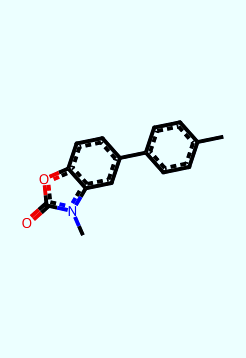 Cc1ccc(-c2ccc3oc(=O)n(C)c3c2)cc1